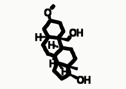 CO[C@H]1CC[C@@]2(CO)[C@@H](CC[C@H]3[C@@H]4CC[C@H](O)[C@@]4(C)CC[C@@H]32)C1